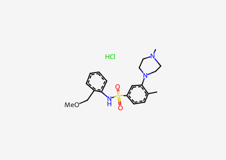 COCc1ccccc1NS(=O)(=O)c1ccc(C)c(N2CCN(C)CC2)c1.Cl